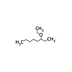 [CH2]CC(CCCCC)OCC